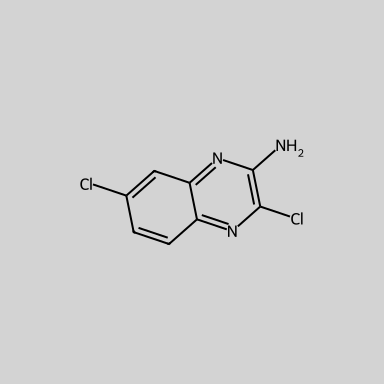 Nc1nc2cc(Cl)ccc2nc1Cl